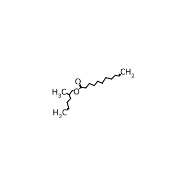 C=CCCCCCCCCC(=O)OCC(C)CCC=C